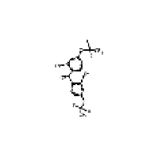 CC(C)c1cc(OC(F)(F)C(F)(F)F)ccc1C(=O)c1ccc(OC(F)(F)C(F)(F)F)cc1C(C)C